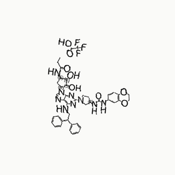 CCC(=O)N[C@H]1C[C@@H](n2cnc3c(NCC(c4ccccc4)c4ccccc4)nc(N4CC[C@@H](NC(=O)Nc5ccc6c(c5)OCCO6)C4)nc32)[C@H](O)[C@@H]1O.O=C(O)C(F)(F)F